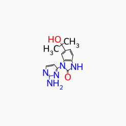 CC(C)(O)c1ccc2[nH]c(=O)n(-c3ccnc(N)n3)c2c1